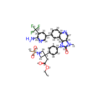 CCOC(=O)CC1(c2ccc(-n3c(=O)n(C)c4cnc5ccc(-c6cnc(N)c(C(F)(F)F)c6)cc5c43)cc2)CN(S(C)(=O)=O)C1